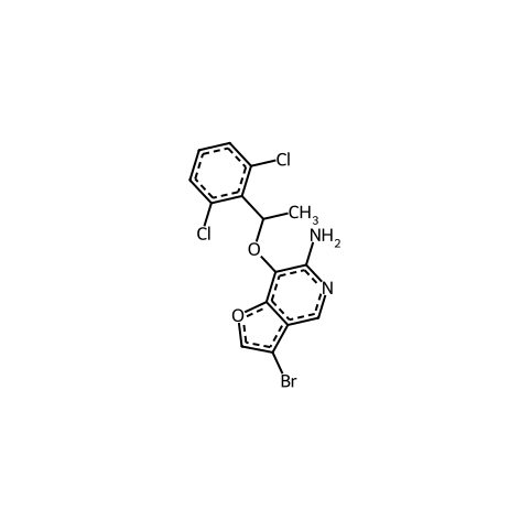 CC(Oc1c(N)ncc2c(Br)coc12)c1c(Cl)cccc1Cl